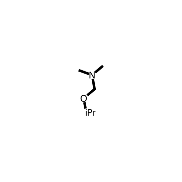 CC(C)OCN(C)C